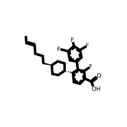 C/C=C/CCC[C@H]1CC[C@H](c2ccc(C(=O)O)c(F)c2-c2cc(F)c(F)c(F)c2)CC1